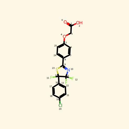 O=C(O)COc1ccc(C2=NC(F)(F)C(F)(c3ccc(Cl)cc3)S2)cc1